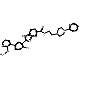 COc1ncccc1-c1ccc(O)c(-c2nc3cc(C(=O)NCCN4CCN(c5ccccn5)CC4)ccc3[nH]2)c1